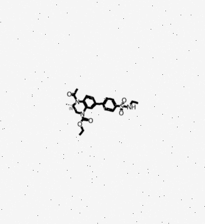 CCNS(=O)(=O)c1ccc(-c2ccc3c(c2)N(C(=O)OCC)C[C@H](C)N3C(C)=O)cc1